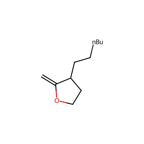 C=C1OCCC1CCCCCC